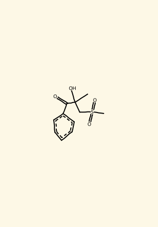 CC(O)(CS(C)(=O)=O)C(=O)c1ccccc1